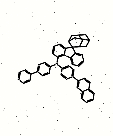 c1ccc(-c2ccc(N(c3ccc(-c4ccc5ccccc5c4)cc3)c3cccc4c3-c3ccccc3C43C4CC5CC(C4)CC3C5)cc2)cc1